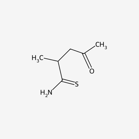 CC(=O)CC(C)C(N)=S